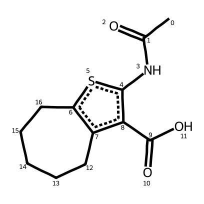 CC(=O)Nc1sc2c(c1C(=O)O)CCCCC2